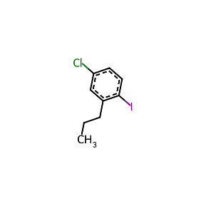 CCCc1cc(Cl)ccc1I